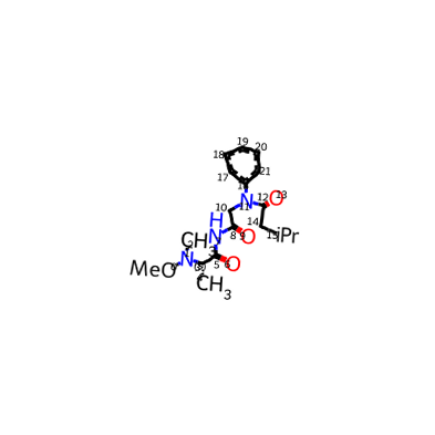 CON(C)[C@@H](C)C(=O)NC(=O)CN(C(=O)CC(C)C)c1ccccc1